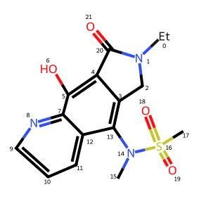 CCN1Cc2c(c(O)c3ncccc3c2N(C)S(C)(=O)=O)C1=O